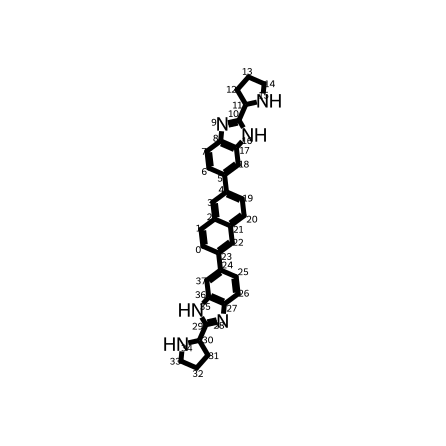 c1cc2cc(-c3ccc4nc(C5CCCN5)[nH]c4c3)ccc2cc1-c1ccc2nc(C3CCCN3)[nH]c2c1